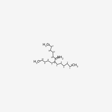 CCCCCCC(CCCCC)C(N)CCCCC